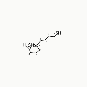 SCCCC[SiH]1CCCO[SiH2]1